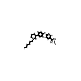 CCCCCCN1CCCC(c2ccc(Oc3ccc(C(N)=O)cn3)cc2)C1